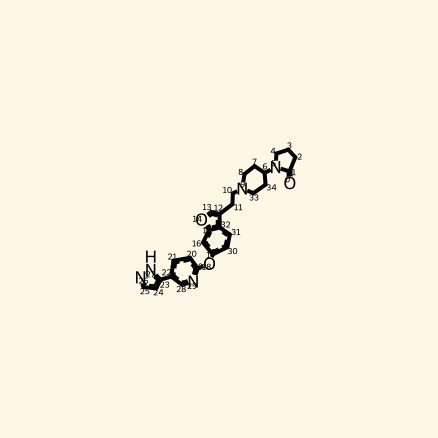 O=C1CCCN1C1CCN(CCc2coc3cc(Oc4ccc(-c5ccn[nH]5)cn4)ccc23)CC1